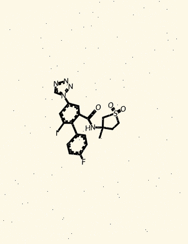 CC1(NC(=O)c2cc(-n3cnnn3)cc(I)c2-c2ccc(F)cc2)CCS(=O)(=O)C1